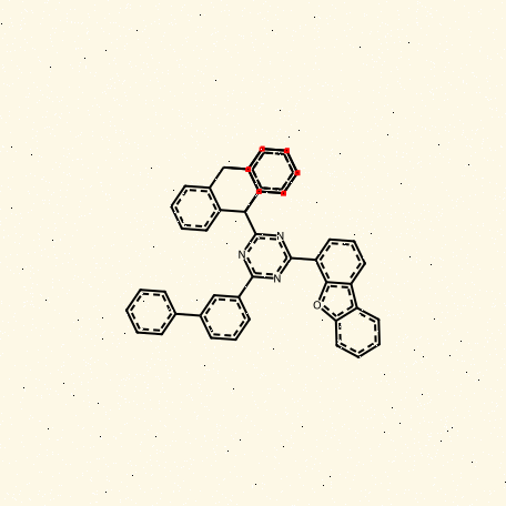 c1ccc(-c2cccc(-c3nc(-c4cccc5c4oc4ccccc45)nc(C45c6ccccc6C(c6ccccc64)c4ccccc45)n3)c2)cc1